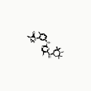 Cc1ccc(Nc2ncc(F)c(NC3CC(C)(C)N(C)C(C)(C)C3)n2)cc1-n1nnn(C)c1=O